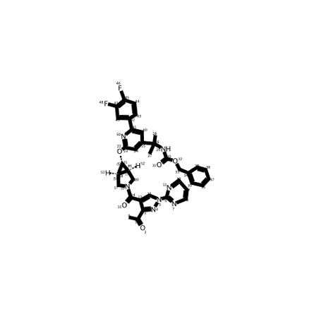 CC(=O)c1nn(-c2ncccn2)cc1C(=O)N1C[C@@H]2[C@H](C1)[C@H]2Oc1cc(C(C)(C)NC(=O)OCc2ccccc2)cc(-c2ccc(F)c(F)c2)n1